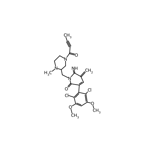 C=C1C=C(c2c(Cl)c(OC)cc(OC)c2Cl)C(=O)N(CC2CN(C(=O)C#CC)CCN2C)C1=N